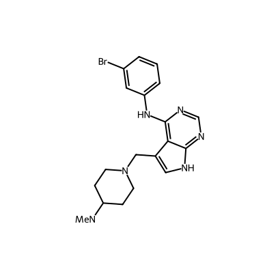 CNC1CCN(Cc2c[nH]c3ncnc(Nc4cccc(Br)c4)c23)CC1